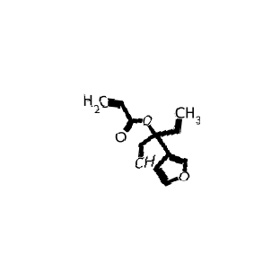 C=CC(=O)OC(CC)(CC)c1ccoc1